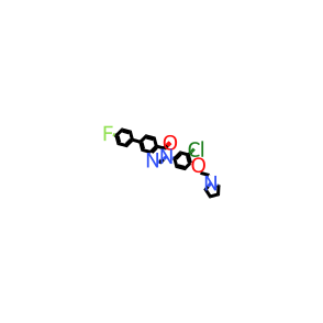 O=c1c2ccc(-c3ccc(F)cc3)cc2ncn1-c1ccc(OCCN2CCCC2)c(Cl)c1